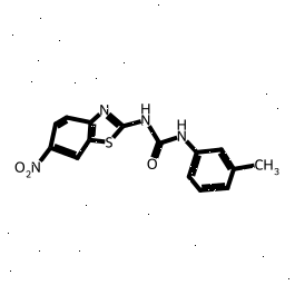 Cc1cccc(NC(=O)Nc2nc3ccc([N+](=O)[O-])cc3s2)c1